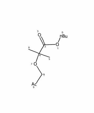 CCCCOC(=O)C(C)(C)OCC(C)=O